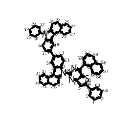 c1ccc(-c2cc3nc(-n4c5ccc(-c6ccc7c(c6)c6c8ccccc8ccc6n7-c6ccccc6)cc5c5c6ccccc6ccc54)nc(-c4cccc5ccccc45)c3s2)cc1